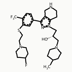 CC1CCN(C[C@H](O)Cn2nc(-c3ccc(C(F)(F)F)c(SCCN4CCC(F)CC4)c3)c3c2CCNC3)CC1